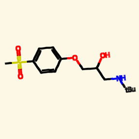 CC(C)(C)NCC(O)COc1ccc(S(C)(=O)=O)cc1